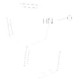 [O-][NH+]1C=CC=Cc2ccccc21